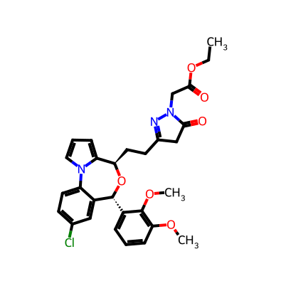 CCOC(=O)CN1N=C(CC[C@H]2O[C@H](c3cccc(OC)c3OC)c3cc(Cl)ccc3-n3cccc32)CC1=O